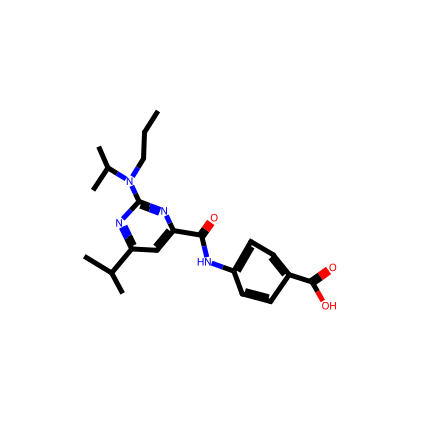 CCCN(c1nc(C(=O)Nc2ccc(C(=O)O)cc2)cc(C(C)C)n1)C(C)C